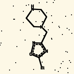 CCc1nc(CN2CCNCC2)no1